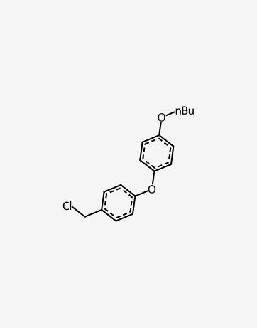 CCCCOc1ccc(Oc2ccc(CCl)cc2)cc1